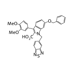 COc1ccc(-c2c(C(=O)O)n(Cc3ccc4nsnc4c3)c3cc(OCc4ccccc4)ccc23)cc1OC